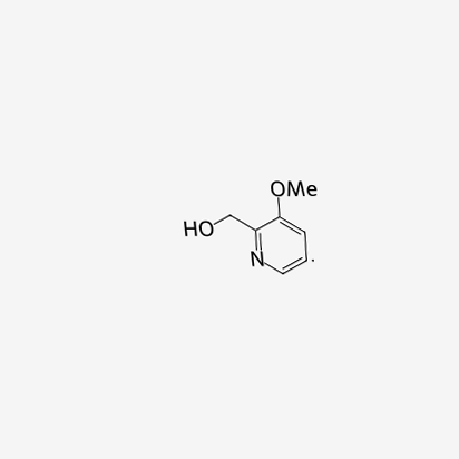 COc1c[c]cnc1CO